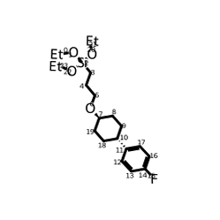 CCO[Si](CCCO[C@H]1CC[C@H](c2ccc(F)cc2)CC1)(OCC)OCC